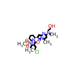 C/C=C(NS(C)(=O)=O)\C(=C/CCl)C(=O)N1CCCC[C@H]1c1cc2nc(N(C)CCO)cc(C)n2n1